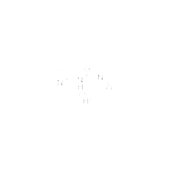 O=C(CN1CCCC1=O)NCC12CCCN1CCC2.[Cl-].[H+]